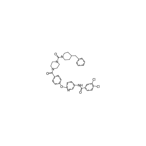 O=C(Nc1ccc(Oc2ccc(C(=O)N3CCN(C(=O)N4CCC(Cc5ccccc5)CC4)CC3)cc2)nc1)c1ccc(Cl)c(Cl)c1